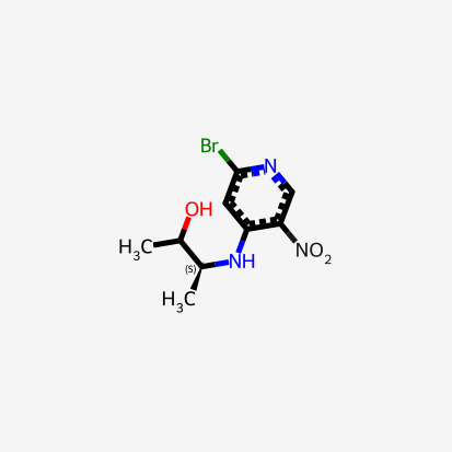 CC(O)[C@H](C)Nc1cc(Br)ncc1[N+](=O)[O-]